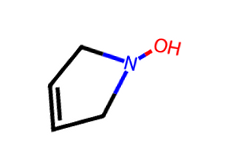 ON1CC=CC1